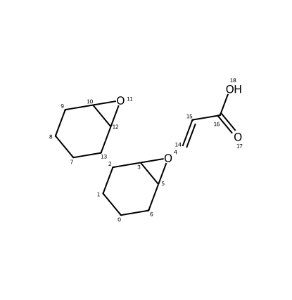 C1CCC2OC2C1.C1CCC2OC2C1.C=CC(=O)O